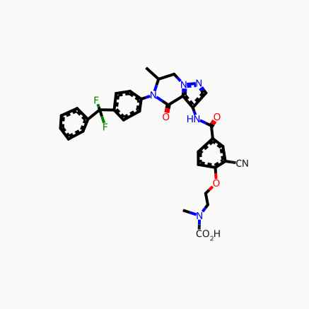 CC1Cn2ncc(NC(=O)c3ccc(OCCN(C)C(=O)O)c(C#N)c3)c2C(=O)N1c1ccc(C(F)(F)c2ccccc2)cc1